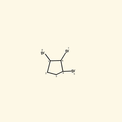 BrC1CCC(Br)C1Br